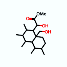 COC(=O)C(O)C1C(C)C(C)C(C)C2C(C)C(C)CCC12CO